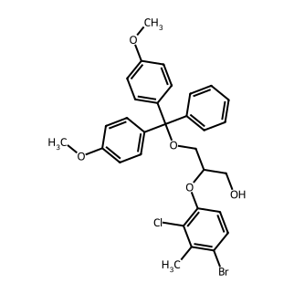 COc1ccc(C(OCC(CO)Oc2ccc(Br)c(C)c2Cl)(c2ccccc2)c2ccc(OC)cc2)cc1